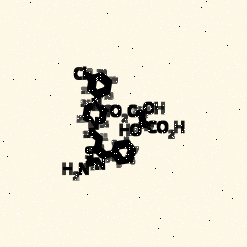 Nc1nc(-c2ccccc2)c(CCN2CCN(c3cccc(Cl)c3)CC2)s1.O=C(O)C(O)C(O)C(=O)O